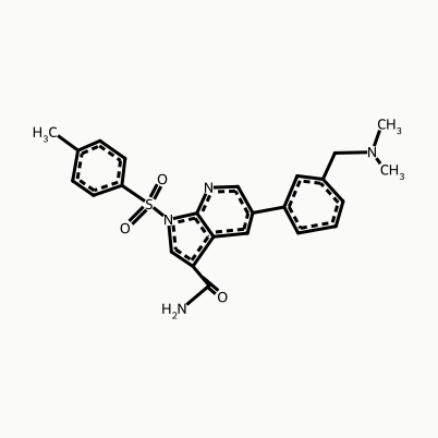 Cc1ccc(S(=O)(=O)n2cc(C(N)=O)c3cc(-c4cccc(CN(C)C)c4)cnc32)cc1